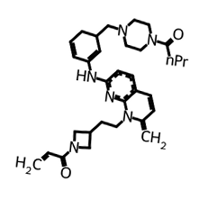 C=CC(=O)N1CC(CCN2C(=C)C=Cc3ccc(NC4=CC(CN5CCN(C(=O)CCC)CC5)CC=C4)nc32)C1